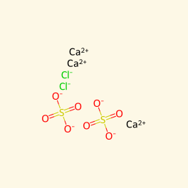 O=S(=O)([O-])[O-].O=S(=O)([O-])[O-].[Ca+2].[Ca+2].[Ca+2].[Cl-].[Cl-]